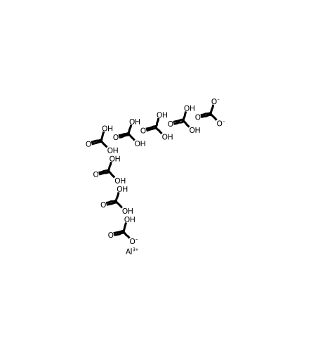 O=C(O)O.O=C(O)O.O=C(O)O.O=C(O)O.O=C(O)O.O=C(O)O.O=C([O-])O.O=C([O-])[O-].[Al+3]